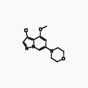 COc1cc(N2CCOCC2)cn2ncc(Cl)c12